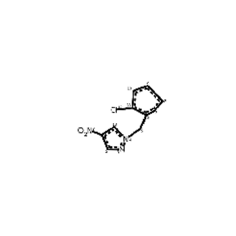 O=[N+]([O-])c1cnn(Cc2ccccc2Cl)c1